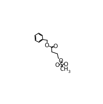 CS(=O)(=O)OCCCC(=O)OCc1ccccc1